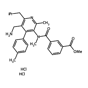 COC(=O)c1cccc(C(=O)N(C)c2c(C)nc(CC(C)C)c(CN)c2-c2ccc(C)cc2)c1.Cl.Cl